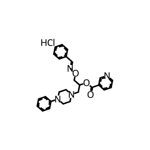 Cl.O=C(OC(CON=Cc1ccccc1)CN1CCN(c2ccccc2)CC1)c1cccnc1